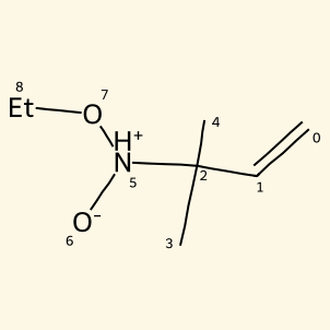 C=CC(C)(C)[NH+]([O-])OCC